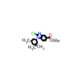 COC(=O)c1ccc2c(c1)nc(Cl)n2[C@H]1C[C@@H](C)CC(C)(C)C1